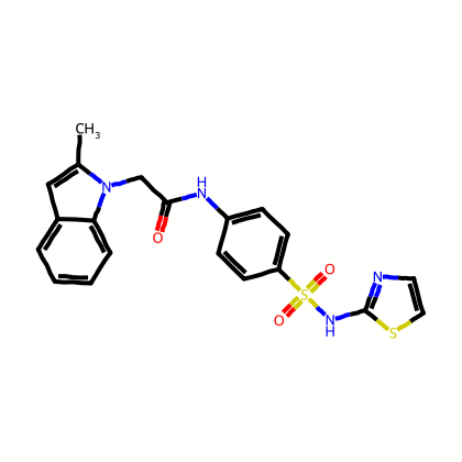 Cc1cc2ccccc2n1CC(=O)Nc1ccc(S(=O)(=O)Nc2nccs2)cc1